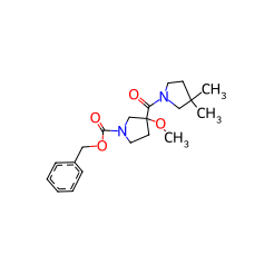 COC1(C(=O)N2CCC(C)(C)C2)CCN(C(=O)OCc2ccccc2)C1